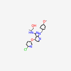 COc1ccc(Cn2nc(NC(C)CO)c3c(Oc4ccc(Cl)nc4)ccnc32)cc1